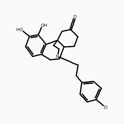 O=C1CCC2C3Cc4ccc(O)c(O)c4C2(CCN3CCc2ccc(Cl)cc2)C1